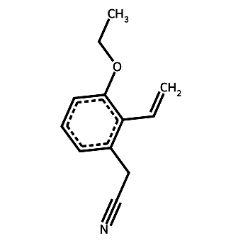 C=Cc1c(CC#N)cccc1OCC